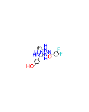 CC(C)CN/C(=N/C(=O)c1ccc(F)c(F)c1)N/C(N)=C/C(=N)c1ccc(CO)cc1